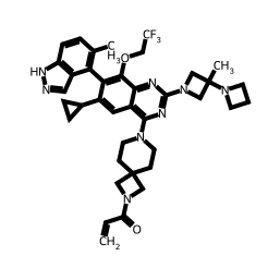 C=CC(=O)N1CC2(CCN(c3nc(N4CC(C)(N5CCC5)C4)nc4c(OCC(F)(F)F)c(-c5c(C)ccc6[nH]ncc56)c(C5CC5)cc34)CC2)C1